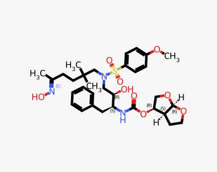 COc1ccc(S(=O)(=O)N(C[C@@H](O)[C@H](Cc2ccccc2)NC(=O)O[C@H]2CO[C@H]3OCC[C@H]32)CC(C)(C)CC/C(C)=N/O)cc1